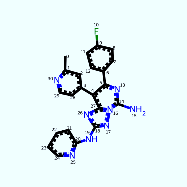 Cc1cc(-c2c(-c3ccc(F)cc3)nc(N)n3nc(Nc4ccccn4)nc23)ccn1